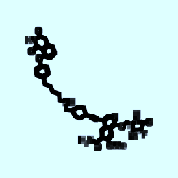 CC[C@@H]1[C@H](F)C(=O)N[C@@H]1COc1ncc(C#CC2CCC(CNCCCCCc3ccc(Oc4cccc5c4C(=O)NC(=O)C5)cc3)CC2)c2cc(C(N)=O)c(OC)cc12